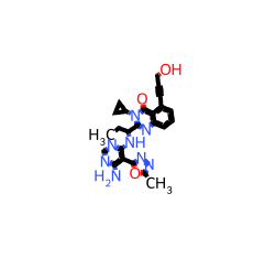 CCC(Nc1ncnc(N)c1-c1nnc(C)o1)c1nc2cccc(C#CCO)c2c(=O)n1C1CC1